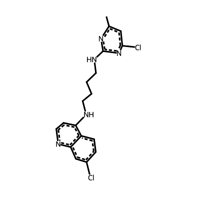 Cc1cc(Cl)nc(NCCCCNc2ccnc3cc(Cl)ccc23)n1